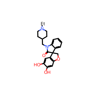 CCN1CCC(CN2C(=O)C3(COc4cc(O)c(O)cc43)c3ccccc32)CC1